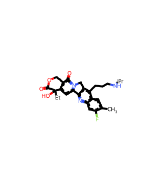 CCC1(O)C(=O)OCc2c1cc1n(c2=O)Cc2c-1nc1cc(F)c(C)cc1c2CCCNC(C)C